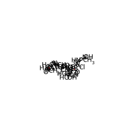 COc1ccc2c(OS(=O)(=O)Oc3cc(C(=O)N(C)CC(C)(C)COCC(C)(C)Cn4cc(C(C)(C)COC(C)(C)CN5C(=O)C=CC5=O)nn4)ccc3O[C@@H]3O[C@H](CO)[C@H](O)[C@H](O)[C@H]3O)cc3c(c2c1)[C@H](CCl)CN3C(=O)c1cc2cc(/C(C)=N/O)ccc2[nH]1